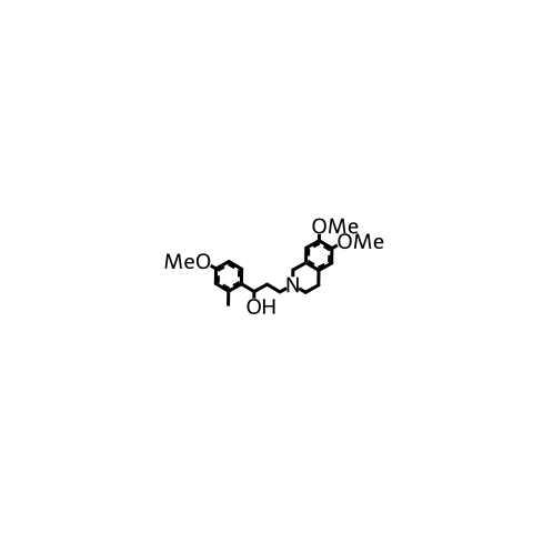 COc1ccc(C(O)CCN2CCc3cc(OC)c(OC)cc3C2)c(C)c1